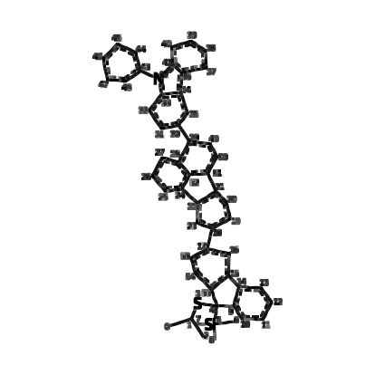 CC(C)SC1([Si](C)(C)C)c2ccccc2-c2cc(-c3ccc4c(c3)-c3cccc5c(-c6ccc7c(c6)c6ccccc6n7-c6ccccc6)ccc-4c35)ccc21